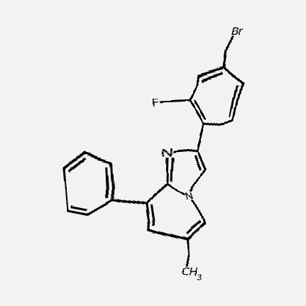 Cc1cc(-c2ccccc2)c2nc(-c3ccc(Br)cc3F)cn2c1